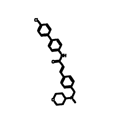 CN(Cc1ccc(/C=C/C(=O)Nc2ccc(-c3ccc(Cl)cc3)cc2)cc1)C1CCOCC1